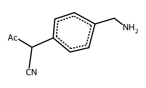 CC(=O)C(C#N)c1ccc(CN)cc1